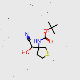 CC(C)(C)OC(=O)NC1(C(O)C#N)CCSC1